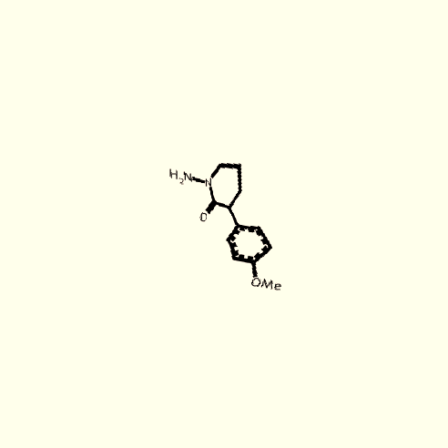 COc1ccc(C2CCCN(N)C2=O)cc1